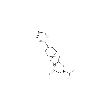 CC(C)N1CC(=O)N2CC3(CCN(c4ccncc4)CC3)OC2C1